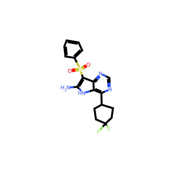 Nc1[nH]c2c(C3CCC(F)(F)CC3)ncnc2c1S(=O)(=O)c1ccccc1